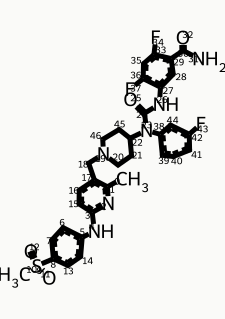 Cc1nc(Nc2ccc(S(C)(=O)=O)cc2)ccc1CN1CCC(N(C(=O)Nc2cc(C(N)=O)c(F)cc2F)c2cccc(F)c2)CC1